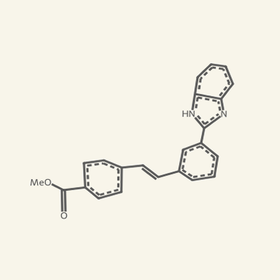 COC(=O)c1ccc(C=Cc2cccc(-c3nc4ccccc4[nH]3)c2)cc1